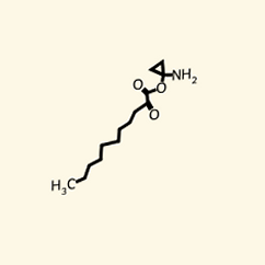 CCCCCCCCCC(=O)C(=O)OC1(N)CC1